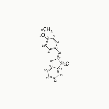 COc1ccc(/C=C2\Cc3ccccc3C2=O)cc1